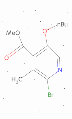 CCCCOc1cnc(Br)c(C)c1C(=O)OC